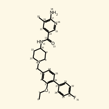 CCOc1cc(CN2CCC(NC(=O)c3cnc(N)c(C)c3)CC2)ccc1-c1ccc(F)cc1